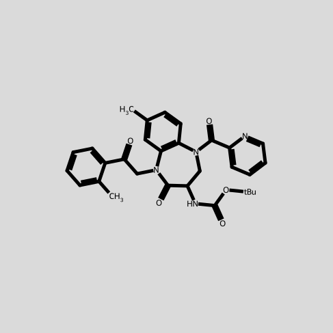 Cc1ccc2c(c1)N(CC(=O)c1ccccc1C)C(=O)C(NC(=O)OC(C)(C)C)CN2C(=O)c1ccccn1